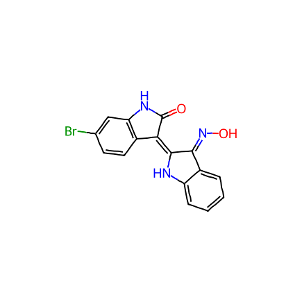 O=C1Nc2cc(Br)ccc2C1=C1Nc2ccccc2C1=NO